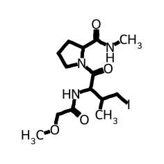 CNC(=O)C1CCCN1C(=O)C(NC(=O)COC)C(C)CI